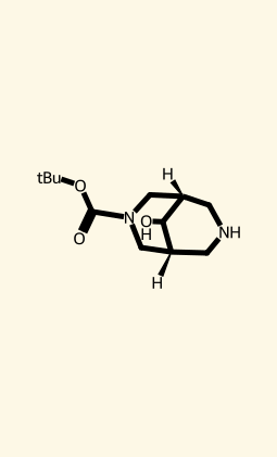 CC(C)(C)OC(=O)N1C[C@H]2CNC[C@@H](C1)C2O